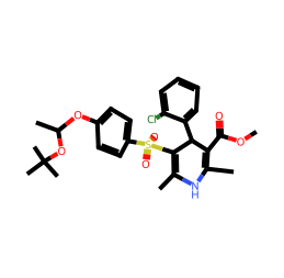 COC(=O)C1=C(C)NC(C)=C(S(=O)(=O)c2ccc(OC(C)OC(C)(C)C)cc2)C1c1ccccc1Cl